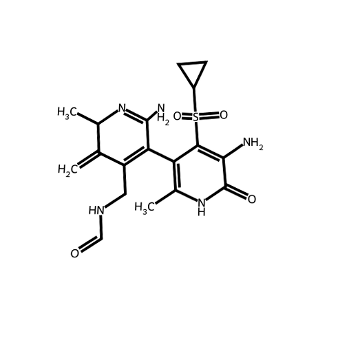 C=C1C(CNC=O)=C(c2c(C)[nH]c(=O)c(N)c2S(=O)(=O)C2CC2)C(N)=NC1C